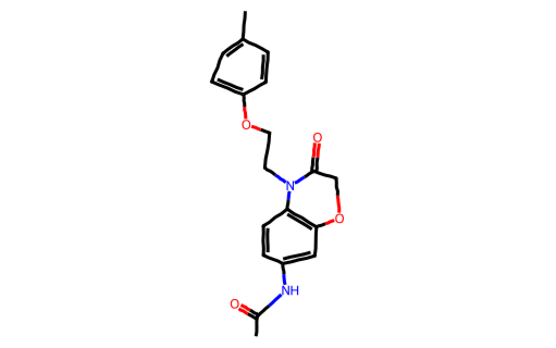 CC(=O)Nc1ccc2c(c1)OCC(=O)N2CCOc1ccc(C)cc1